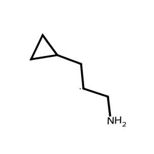 NC[CH]CC1CC1